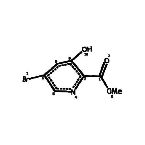 COC(=O)c1ncc(Br)cc1O